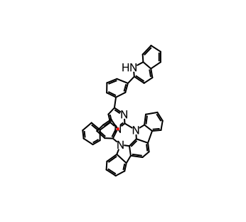 C1=CC2=CC=C(c3cccc(-c4cc(-c5ccccc5)nc(-n5c6ccccc6c6ccc7c8ccccc8n(-c8ccccc8)c7c65)n4)c3)NC2C=C1